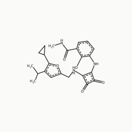 CNC(=O)c1cccc(Nc2c(NCc3cc(C(C)C)c(C4CC4)o3)c(=O)c2=O)c1O